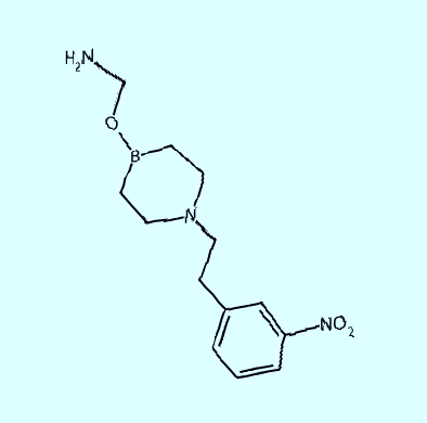 NCOB1CCN(CCc2cccc([N+](=O)[O-])c2)CC1